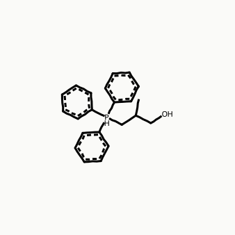 CC(CO)C[PH](c1ccccc1)(c1ccccc1)c1ccccc1